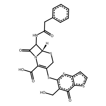 O=C(Cc1ccccc1)NC1C(=O)N2C(C(=O)O)=C(Sc3sc4ccsc4c(=O)c3CO)CS[C@@H]12